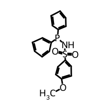 COc1ccc(S(=O)(=O)NP(c2ccccc2)c2ccccc2)cc1